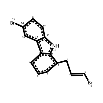 BrC=CCc1cccc2c1[nH]c1ccc(Br)cc12